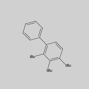 CCC(C)c1c(-c2ccccc2)ccc(C(C)(C)C)c1C(C)(C)C